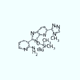 Cn1cnnc1-c1ccc2nc(-c3cccnc3N)n(O[Si](C)(C)C(C)(C)C)c2n1